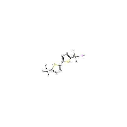 CC(C)(C)c1ccc(-c2ccc(C(C)(C)I)s2)s1